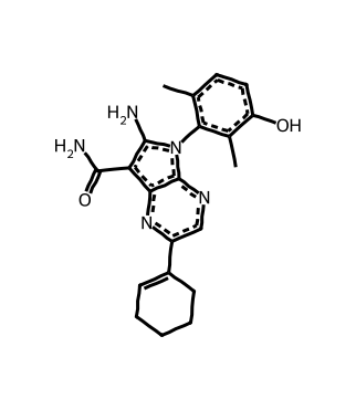 Cc1ccc(O)c(C)c1-n1c(N)c(C(N)=O)c2nc(C3=CCCCC3)cnc21